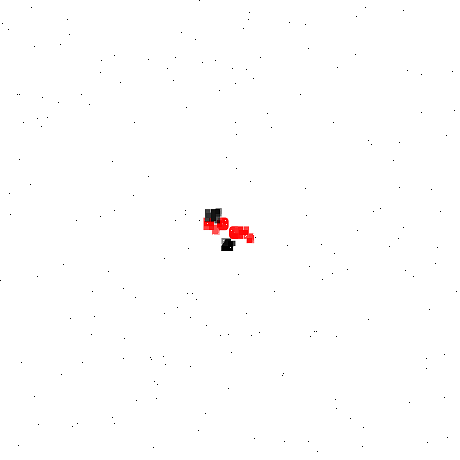 O.O.[Hf].[Zr]